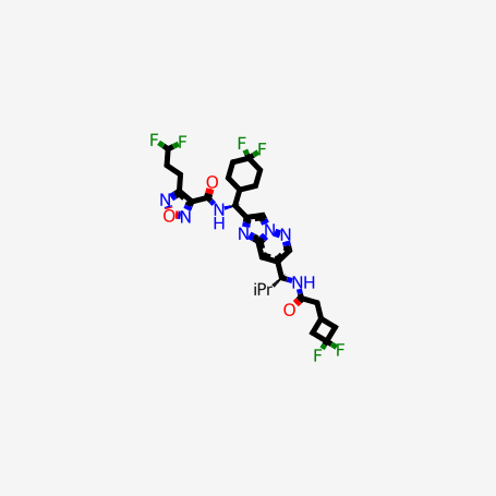 CC(C)[C@H](NC(=O)CC1CC(F)(F)C1)c1cnn2cc([C@@H](NC(=O)c3nonc3CCC(F)F)C3CCC(F)(F)CC3)nc2c1